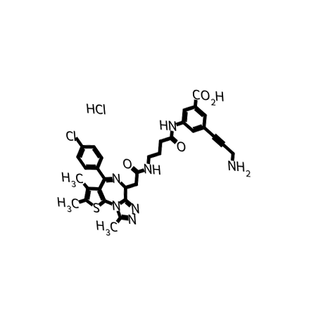 Cc1sc2c(c1C)C(c1ccc(Cl)cc1)=NC(CC(=O)NCCCC(=O)Nc1cc(C#CCN)cc(C(=O)O)c1)c1nnc(C)n1-2.Cl